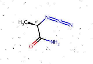 C[C@@H](N=[N+]=[N-])C(N)=O